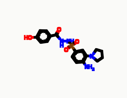 Nc1ccc(S(=O)(=O)NNC(=O)c2ccc(O)cc2)cc1N1CCCC1